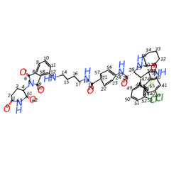 O=C1CCC(N2C(=O)c3cccc(NCCCCNC(=O)c4ccc(NC(=O)[C@@H]5NC6(CCCCC6)[C@@]6(C(=O)Nc7cc(Cl)ccc76)[C@H]5c5cccc(Cl)c5F)cc4)c3C2=O)C(=O)N1